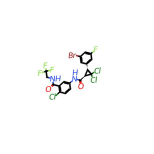 O=C(NCC(F)(F)F)c1cc(NC(=O)[C@H]2[C@H](c3cc(F)cc(Br)c3)C2(Cl)Cl)ccc1Cl